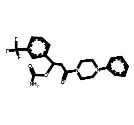 NC(=O)OC(CC(=O)N1CCN(c2ccccc2)CC1)c1cccc(C(F)(F)F)c1